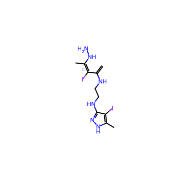 C=C(NCCNc1n[nH]c(C)c1I)/C(I)=C(/C)NN